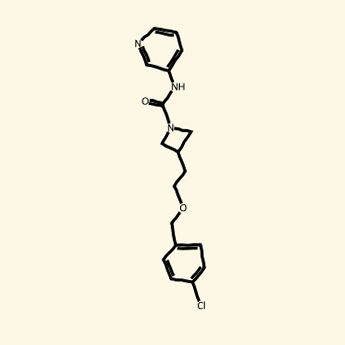 O=C(Nc1cccnc1)N1CC(CCOCc2ccc(Cl)cc2)C1